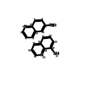 [NH]c1ccc2ncccc2c1.[NH]c1cccc2cccnc12